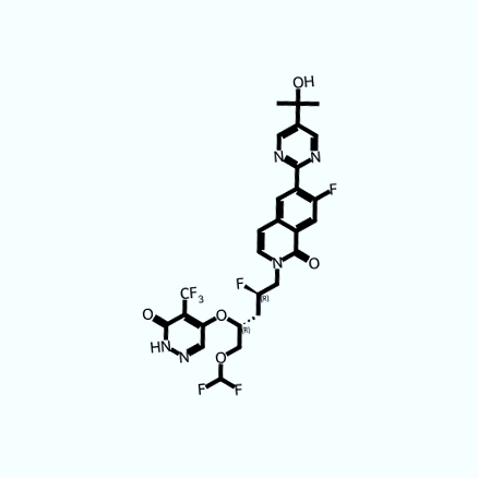 CC(C)(O)c1cnc(-c2cc3ccn(C[C@H](F)C[C@H](COC(F)F)Oc4cn[nH]c(=O)c4C(F)(F)F)c(=O)c3cc2F)nc1